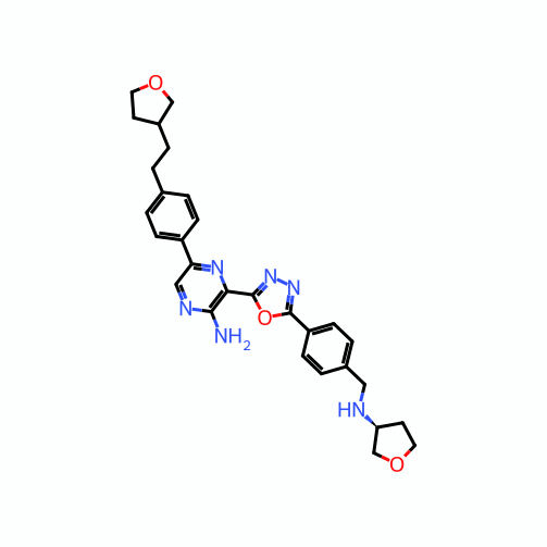 Nc1ncc(-c2ccc(CCC3CCOC3)cc2)nc1-c1nnc(-c2ccc(CN[C@H]3CCOC3)cc2)o1